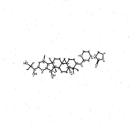 C[C@@H]1CC(C(O)C(C)(C)O)OC2C1C1(C)CCC34CC35CCC(OC3CN([C@@H]6CCOC6=O)CCO3)C(C)(C)[C@@H]5CCC4[C@]1(C)[C@H]2O